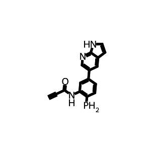 C#CC(=O)Nc1cc(-c2cnc3[nH]ccc3c2)ccc1P